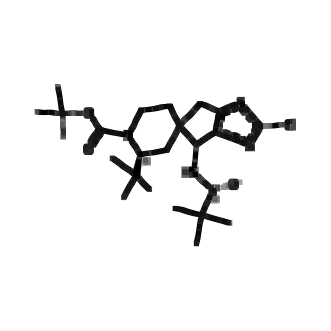 CC(C)(C)OC(=O)N1CCC2(Cc3sc(Cl)nc3C2N[S@+]([O-])C(C)(C)C)C[C@H]1C(C)(C)C